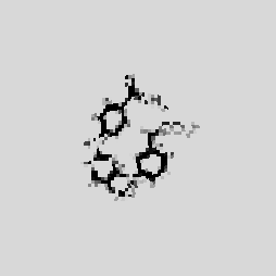 NC(=O)c1ccc(Nc2ncc3nnn(-c4cccc(CC(=O)O)c4)c3n2)cc1